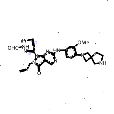 C=CCn1c(=O)c2cnc(Nc3ccc(N4CC5(CCNC5)C4)c(OC)c3)nc2n1C(/C=C\C(C)C)=N/NC=O